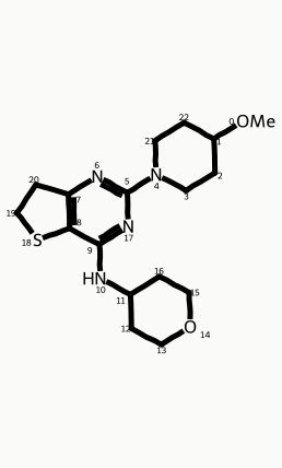 COC1CCN(c2nc3c(c(NC4CCOCC4)n2)SCC3)CC1